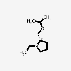 CCN1CCC[C@H]1COC(C)C